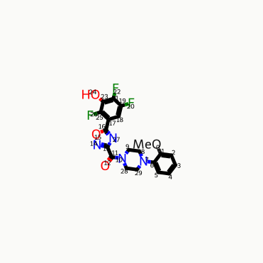 COc1ccccc1N1CCN(C(=O)c2noc(-c3cc(F)c(F)c(O)c3F)n2)CC1